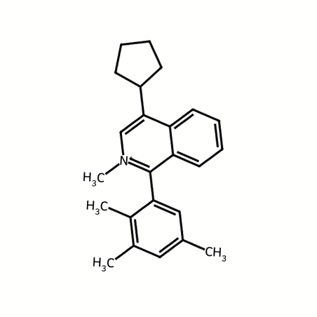 Cc1cc(C)c(C)c(-c2c3ccccc3c(C3CCCC3)c[n+]2C)c1